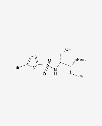 CCCCC[C@H](CC(C)C)[C@@H](CO)NS(=O)(=O)c1ccc(Br)s1